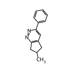 CC1Cc2cc(-c3ccccc3)nnc2C1